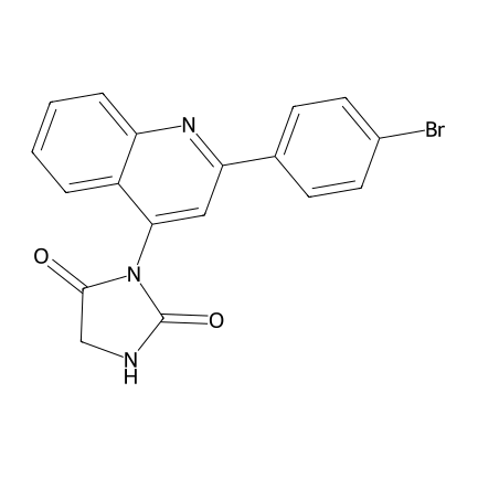 O=C1CNC(=O)N1c1cc(-c2ccc(Br)cc2)nc2ccccc12